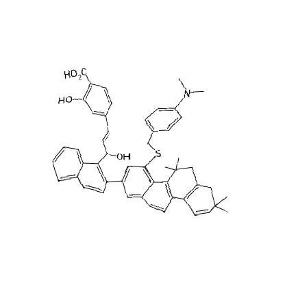 CN(C)c1ccc(CSc2cc(-c3ccc4ccccc4c3C(O)C=Cc3ccc(C(=O)O)c(O)c3)cc3ccc4c(c23)C(C)(C)CC2=C4C=CC(C)(C)C2)cc1